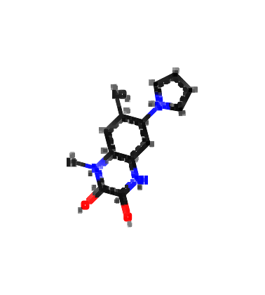 CCn1c(=O)c(=O)[nH]c2cc(-n3cccc3)c([N+](=O)[O-])cc21